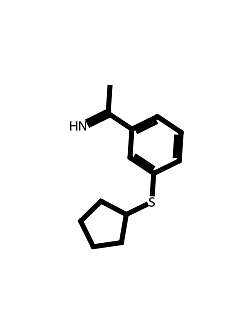 CC(=N)c1cccc(SC2CCCC2)c1